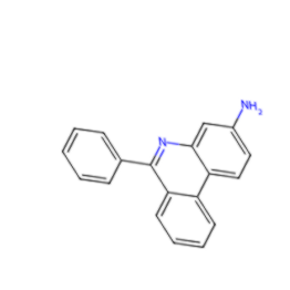 Nc1ccc2c(c1)nc(-c1ccccc1)c1ccccc12